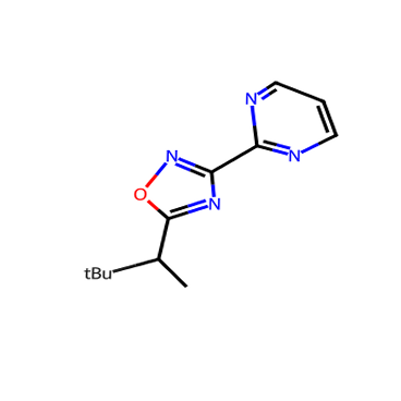 CC(c1nc(-c2ncccn2)no1)C(C)(C)C